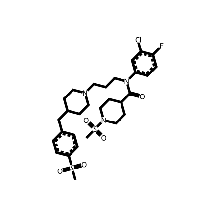 CS(=O)(=O)c1ccc(CC2CCN(CCCN(C(=O)C3CCN(S(C)(=O)=O)CC3)c3ccc(F)c(Cl)c3)CC2)cc1